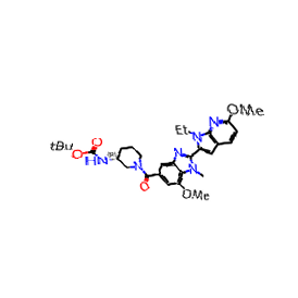 CCn1c(-c2nc3cc(C(=O)N4CCC[C@@H](NC(=O)OC(C)(C)C)C4)cc(OC)c3n2C)cc2ccc(OC)nc21